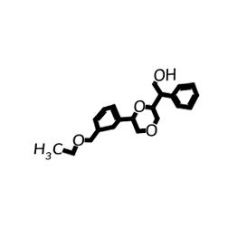 CCOCC1C=CC=C(C2COCC(C(CO)c3ccccc3)O2)C1